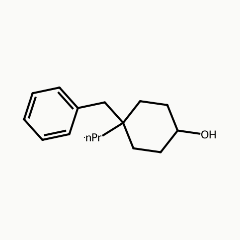 CC[CH]C1(Cc2ccccc2)CCC(O)CC1